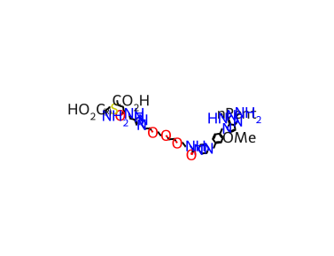 CCCCCNc1nc(N)nc2ccn(Cc3ccc(CN4CCN(C(=O)NCCOCCOCCOCCn5cc(CNC(=O)CC(SC[C@H](N)C(=O)O)C(=O)O)nn5)CC4)cc3OC)c12